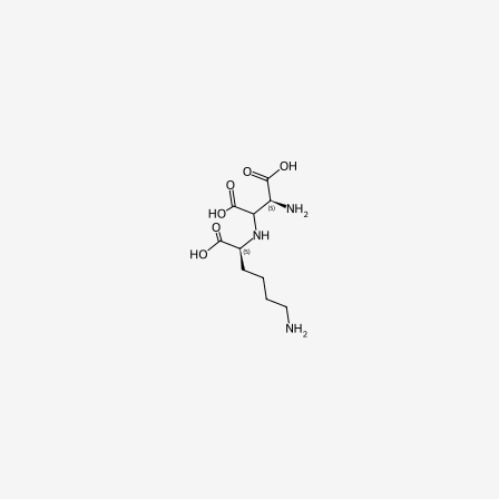 NCCCC[C@H](NC(C(=O)O)[C@H](N)C(=O)O)C(=O)O